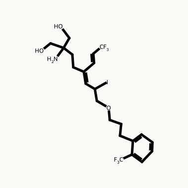 NC(CO)(CO)CCC(=C/C(I)COCCCc1ccccc1C(F)(F)F)/C=C/C(F)(F)F